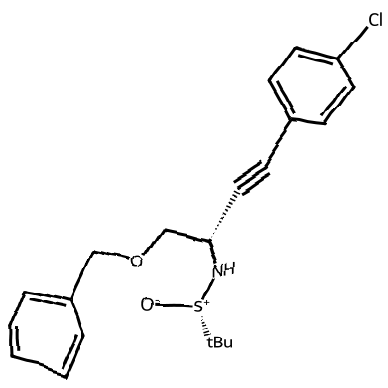 CC(C)(C)[S@+]([O-])N[C@@H](C#Cc1ccc(Cl)cc1)COCc1ccccc1